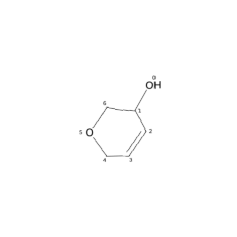 OC1C=CCOC1